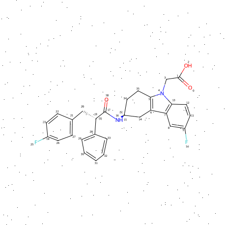 O=C(O)Cn1c2c(c3cc(F)ccc31)C[C@@H](NC(=O)[C@@H](Cc1ccc(F)cc1)c1ccccc1)CC2